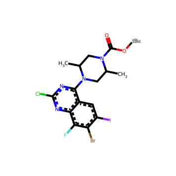 CC1CN(c2nc(Cl)nc3c(F)c(Br)c(I)cc23)C(C)CN1C(=O)OC(C)(C)C